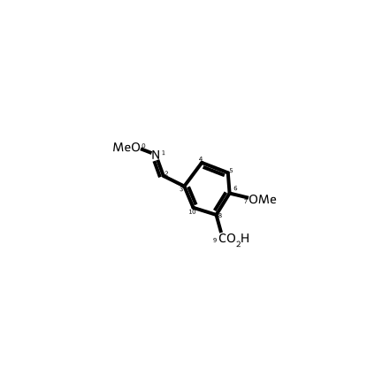 CO/N=C/c1ccc(OC)c(C(=O)O)c1